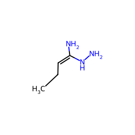 CC/C=C(/N)NN